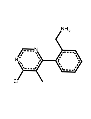 Cc1c(Cl)ncnc1-c1ccccc1CN